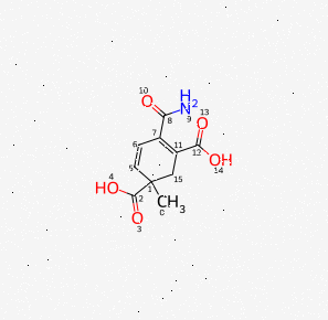 CC1(C(=O)O)C=CC(C(N)=O)=C(C(=O)O)C1